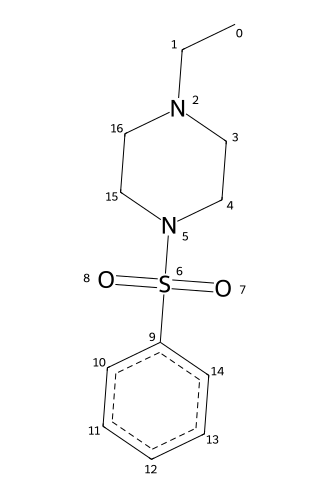 CCN1CCN(S(=O)(=O)c2ccccc2)CC1